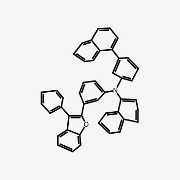 c1ccc(-c2c(-c3cccc(N(c4cccc(-c5cccc6ccccc56)c4)c4cccc5ccccc45)c3)oc3ccccc23)cc1